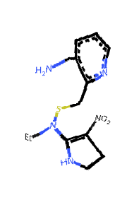 CCN(SCc1ncccc1N)C1=C([N+](=O)[O-])CCN1